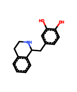 Oc1ccc(CC2NCCc3ccccc32)cc1O